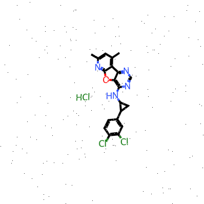 Cc1cc(C)c2c(n1)oc1c(NC3CC3c3ccc(Cl)c(Cl)c3)ncnc12.Cl